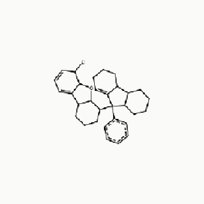 ClC1C=CC=C2C3CCCC(C4(c5ccccc5)C5=CCCCC5C5CCCCC54)C3OC21